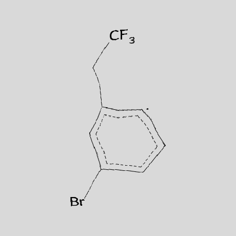 FC(F)(F)Cc1[c]ccc(Br)c1